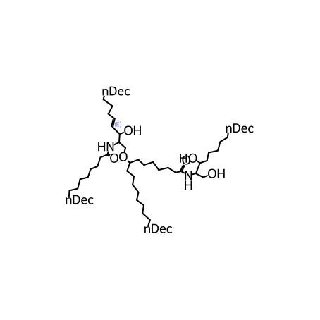 CCCCCCCCCCCCC/C=C/C(O)C(COC(CCCCCCCCCCCCCCCCCC)CCCCCCC(=O)NC(CO)C(O)CCCCCCCCCCCCCCC)NC(=O)CCCCCCCCCCCCCCCCC